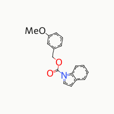 COc1cccc(COC(=O)n2ccc3ccccc32)c1